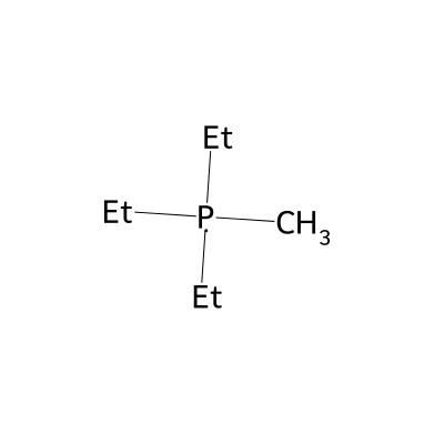 CC[P](C)(CC)CC